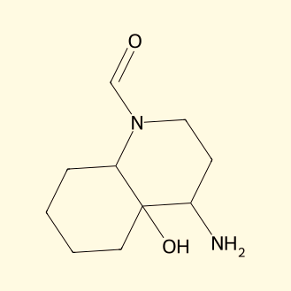 NC1CCN(C=O)C2CCCCC12O